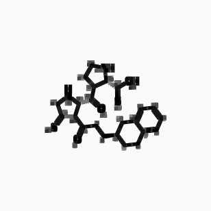 O=C(CC[C@@H]1CCc2ccccc2C1)C1C(=S)CN[C@@H]1C(=O)C1CCN[C@@H]1C(O)=S